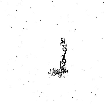 O=C(Cc1ccc(OCCCC2CCN(c3ncc(Cl)cn3)CC2)cc1F)N1C[C@@H]2CN(C[C@H](O)[C@H](O)[C@H](O)CO)C[C@@H]21